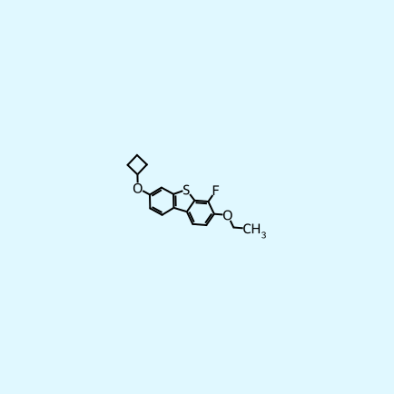 CCOc1ccc2c(sc3cc(OC4CCC4)ccc32)c1F